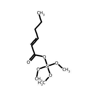 CCCC=CC(=O)O[Si](OC)(OC)OC